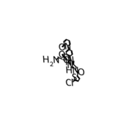 NCCS(=O)(=O)c1cc(-n2ccccc2=O)ccc1-n1cc(CNC(=O)c2ccc(Cl)s2)nn1